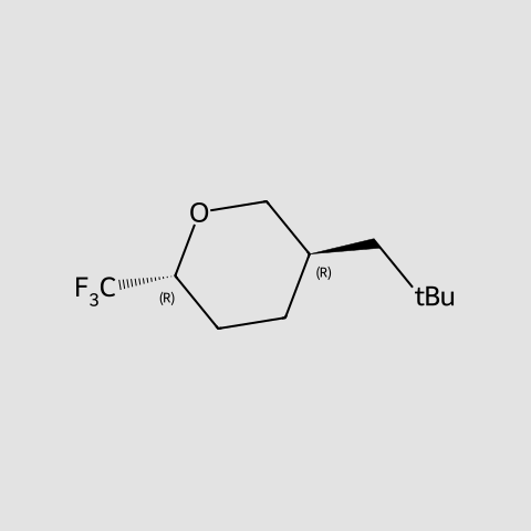 CC(C)(C)C[C@H]1CC[C@H](C(F)(F)F)OC1